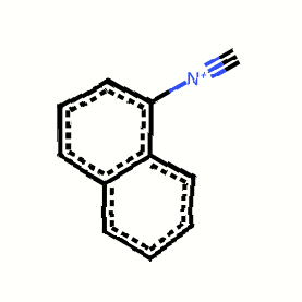 C#[N+]c1cccc2ccccc12